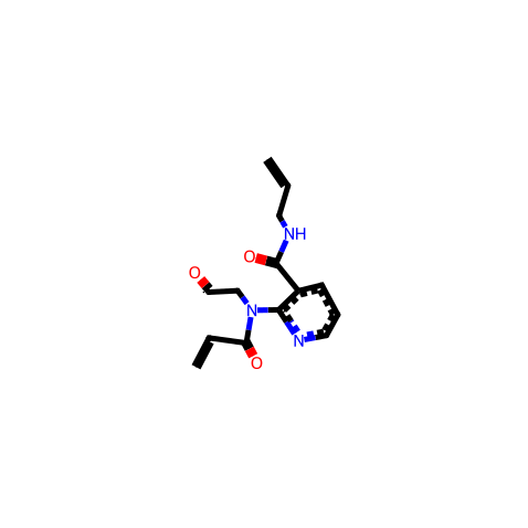 C=CCNC(=O)c1cccnc1N(C[C]=O)C(=O)C=C